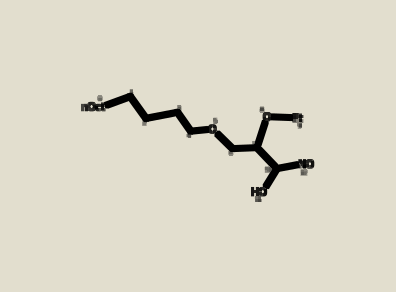 CCCCCCCCCCCCOCC(OCC)C(O)N=O